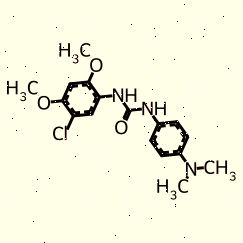 COc1cc(OC)c(NC(=O)Nc2ccc(N(C)C)cc2)cc1Cl